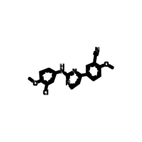 COc1ccc(Nc2nccc(-c3ccc(OC)c(C#N)c3)n2)cc1Cl